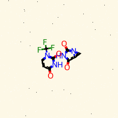 O=c1[nH]c(=O)n2cc1-2.O=c1ccn(C(F)(F)F)c(=O)[nH]1